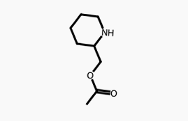 CC(=O)OCC1CCCCN1